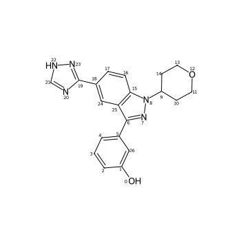 Oc1cccc(-c2nn(C3CCOCC3)c3ccc(-c4nc[nH]n4)cc23)c1